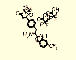 CC(C)(C)N1C(=O)CC(c2ccc(C[C@H](N)c3nc4ccc(C(F)(F)F)cc4[nH]3)cc2)S1(=O)=O.O=C(O)C(F)(F)F.O=C(O)C(F)(F)F